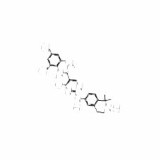 CC1(C)NCCc2cc(Nc3ncc4c(n3)OCN(c3c(Cl)cc(Cl)cc3Cl)C4=O)ccc21